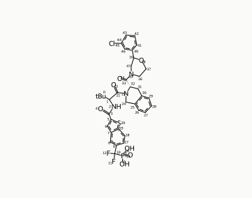 CC(C)(C)C(NC(=O)c1cc2cc(C(F)(F)P(=O)(O)O)ccc2s1)C(=O)N1Cc2ccccc2C[C@H]1C(=O)N1CCOC(c2cccc(Cl)c2)C1